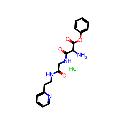 Cl.NC(C(=O)NCC(=O)NCCc1ccccn1)C(=O)Oc1ccccc1